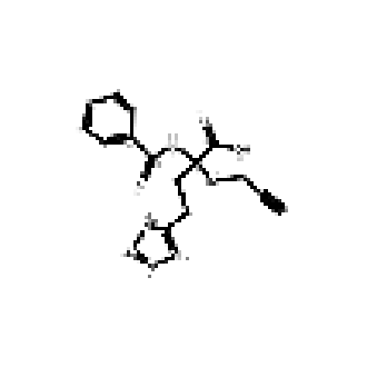 C#CCNC(CCc1nnn[nH]1)(NC(=O)c1ccccc1)C(=O)O